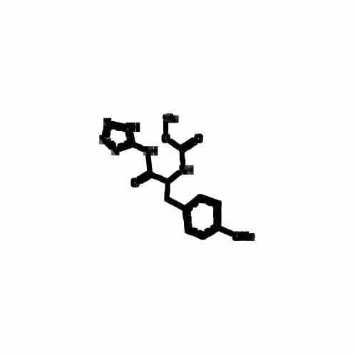 COc1ccc(CC(NC(=O)OC(C)(C)C)C(=O)Nc2nnn[nH]2)cc1